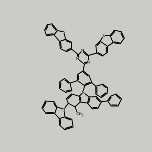 CC1c2c(n(-c3c(-c4ccccc4)cc(-c4nc(-c5ccc6c(c5)sc5ccccc56)nc(-c5ccc6c(c5)sc5ccccc56)n4)cc3-c3ccccc3)c3cc(-c4ccccc4)ccc23)C=CC1n1c2ccccc2c2ccccc21